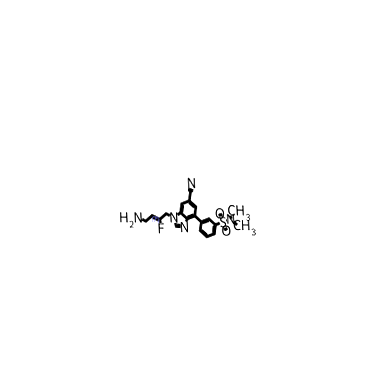 CN(C)S(=O)(=O)c1cccc(-c2cc(C#N)cc3c2ncn3C/C(F)=C/CN)c1